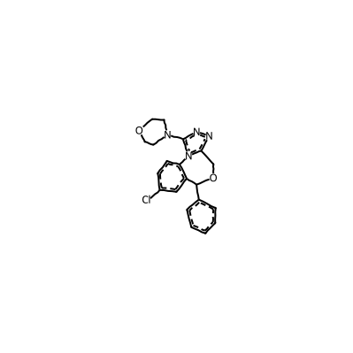 Clc1ccc2c(c1)C(c1ccccc1)OCc1nnc(N3CCOCC3)n1-2